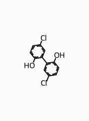 Oc1ccc(Cl)cc1-c1cc(Cl)ccc1O